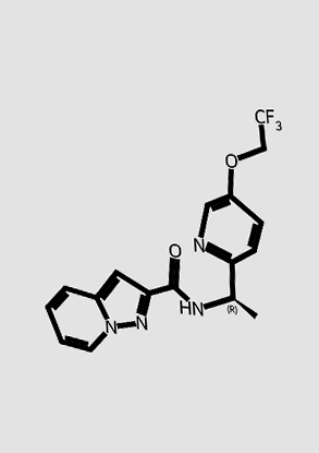 C[C@@H](NC(=O)c1cc2ccccn2n1)c1ccc(OCC(F)(F)F)cn1